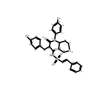 O=C(NS(=O)(=O)/C=C/c1ccccc1)C(Cc1ccc(F)cc1)C(=O)N(c1ccc(F)cc1)C1CCOCC1